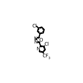 FC(F)(F)c1cnc(-c2nnc(-c3cccc(Cl)c3)o2)c(Cl)c1